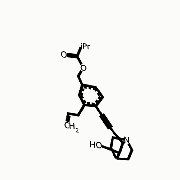 C=CCc1cc(COC(=O)C(C)C)ccc1C#CC1C(O)C2CCN1CC2